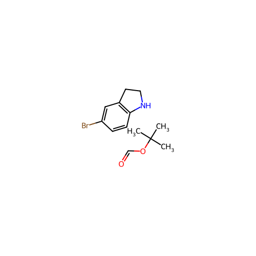 Brc1ccc2c(c1)CCN2.CC(C)(C)OC=O